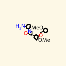 COc1ccccc1COc1cc([C@H]2CC(=O)N(c3cccc(N)c3)C2)ccc1OC